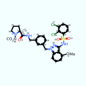 COc1cccc2c1c(NS(=O)(=O)c1cccc(Cl)c1Cl)nn2Cc1cccc(CNC(=O)[C@]2(C)CCCN2C(=O)O)c1